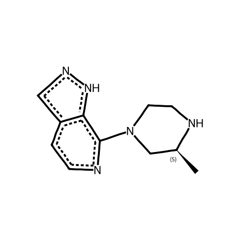 C[C@H]1CN(c2nccc3cn[nH]c23)CCN1